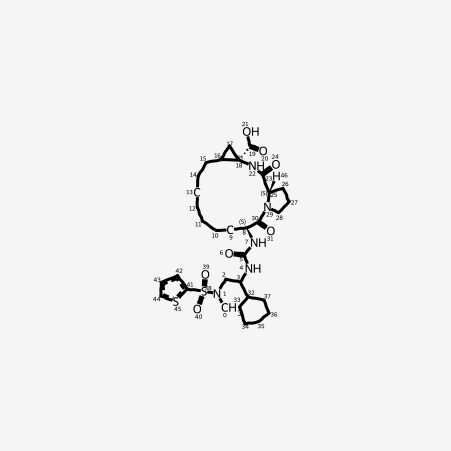 CN(CC(NC(=O)N[C@H]1CCCCCCCC2C[C@@]2(C(=O)O)NC(=O)[C@@H]2CCCN2C1=O)C1CCCCC1)S(=O)(=O)c1cccs1